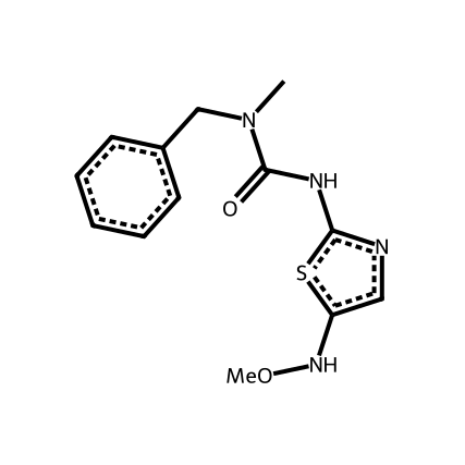 CONc1cnc(NC(=O)N(C)Cc2ccccc2)s1